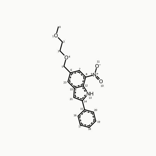 COCCOCc1cc([N+](=O)[O-])c2[nH]c(-c3ccccc3)cc2c1